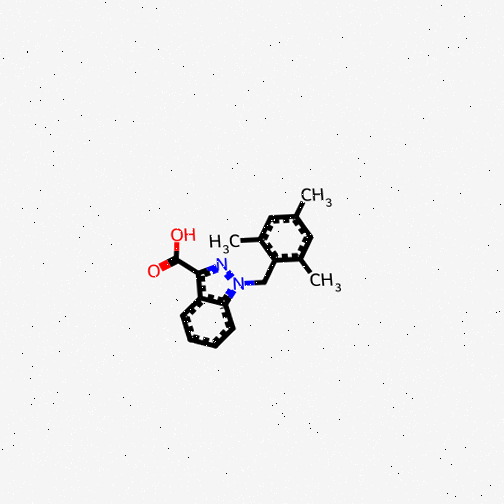 Cc1cc(C)c(Cn2nc(C(=O)O)c3ccccc32)c(C)c1